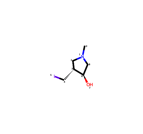 CN1C[C@@H](CI)[C@H](O)C1